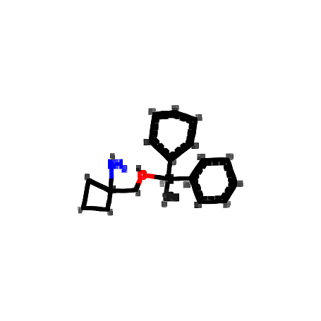 CC(C)(C)[Si](OCC1(N)CCC1)(c1ccccc1)c1ccccc1